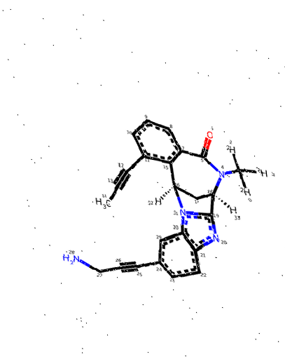 [2H]C([2H])([2H])N1C(=O)c2cccc(C#CC)c2[C@H]2C[C@@H]1c1nc3ccc(C#CCN)cc3n12